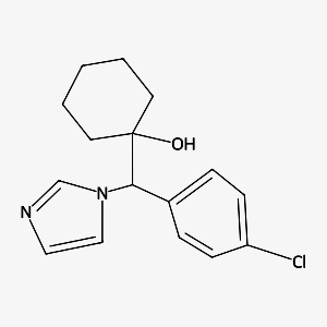 OC1(C(c2ccc(Cl)cc2)n2ccnc2)CCCCC1